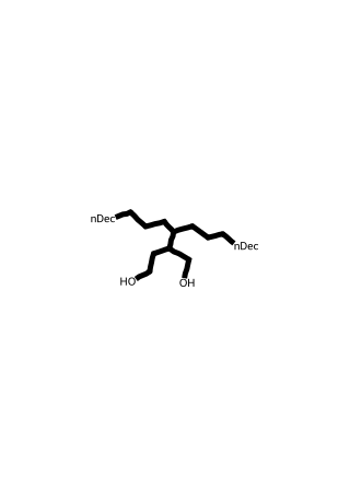 CCCCCCCCCCCCCC(CCCCCCCCCCCCC)C(CO)CCO